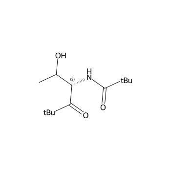 CC(O)[C@H](NC(=O)C(C)(C)C)C(=O)C(C)(C)C